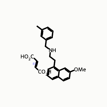 COc1ccc2cccc(CCNCc3cccc(C)c3)c2c1.O=C(O)/C=C/C(=O)O